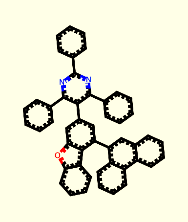 c1ccc(-c2nc(-c3ccccc3)c(-c3cc(-c4cc5ccccc5c5ccccc45)c4c(c3)oc3ccccc34)c(-c3ccccc3)n2)cc1